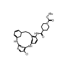 CC(C)(C)OC(=O)N1CCC(C(=O)Nc2ccc3cc2CCC2C=CC=C(C2)Nc2ncc(Cl)c(n2)N3)CC1